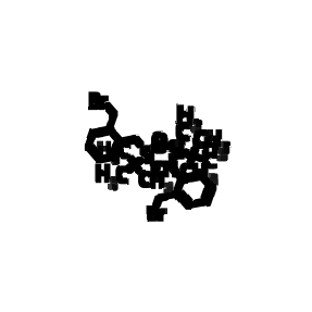 CC(C)(C)[Si](C)(Cc1ccccc1CBr)O[Si](C)(Cc1ccccc1CBr)C(C)(C)C